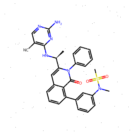 C[C@H](Nc1nc(N)ncc1C#N)c1cc2cccc(-c3cccc(N(C)S(C)(=O)=O)c3)c2c(=O)n1-c1ccccc1